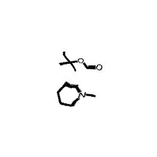 CC(C)(C)OC=O.CN1CCCCC1